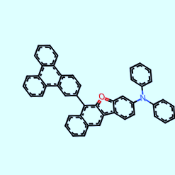 c1ccc(N(c2ccccc2)c2ccc3c(c2)oc2c(-c4ccc5c6ccccc6c6ccccc6c5c4)c4ccccc4cc23)cc1